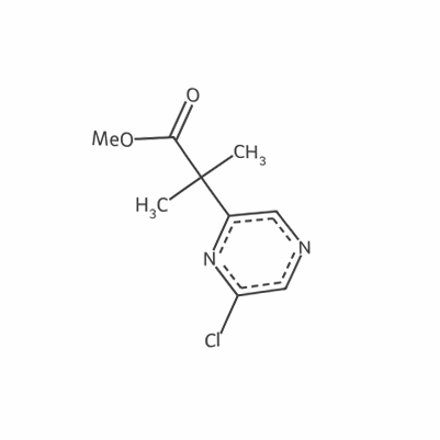 COC(=O)C(C)(C)c1cncc(Cl)n1